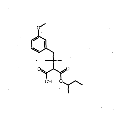 CCC(C)OC(=O)C(C(=O)O)C(C)(C)Cc1cccc(OC)c1